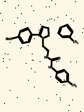 COc1ccc(C2=NCCN2CCNC(=O)Nc2ccc(C)cc2)cc1.Cc1ccccc1